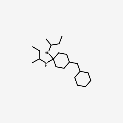 CCC(C)NC1(NC(C)CC)CCC(CC2CCCCC2)CC1